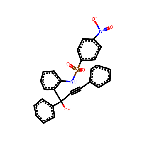 O=[N+]([O-])c1ccc(S(=O)(=O)Nc2ccccc2C(O)(C#Cc2ccccc2)c2ccccc2)cc1